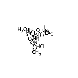 CNC(=S)[C@H]1CC[C@H](NC(=O)C(=O)Nc2ccc(Cl)cn2)[C@H](NC(=O)c2nc3c(s2)CN(C)CC3)C1.Cl